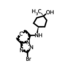 C[C@]1(O)CC[C@@H](Nc2cccc3nc(Br)nn23)CC1